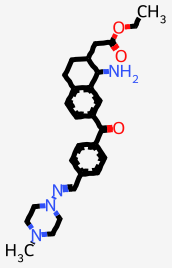 CCOC(=O)CC1CCc2ccc(C(=O)c3ccc(C=NN4CCN(C)CC4)cc3)cc2C1N